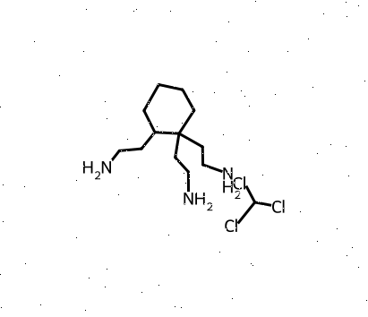 ClC(Cl)Cl.NCCC1CCCCC1(CCN)CCN